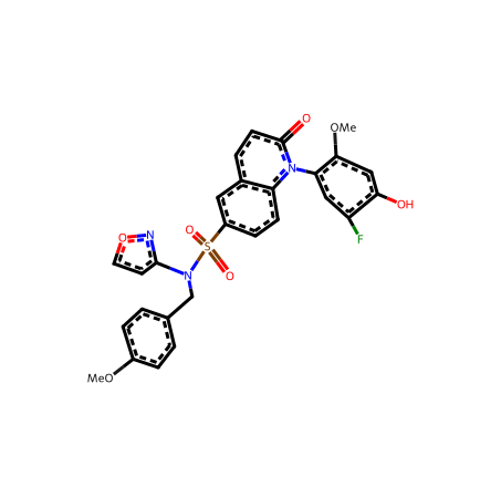 COc1ccc(CN(c2ccon2)S(=O)(=O)c2ccc3c(ccc(=O)n3-c3cc(F)c(O)cc3OC)c2)cc1